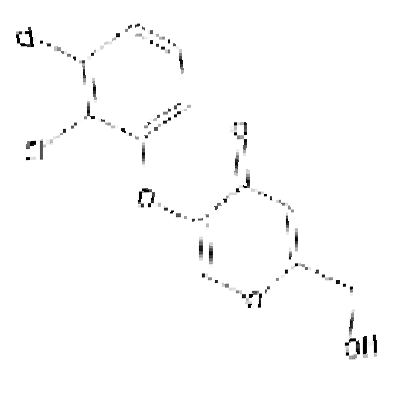 O=c1cc(CO)occ1Oc1cccc(Cl)c1Cl